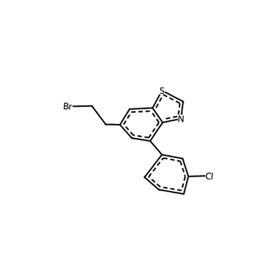 Clc1cccc(-c2cc(CCBr)cc3scnc23)c1